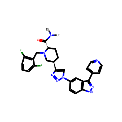 CCN(CC)C(=O)[C@@H]1CC[C@@H](c2cn(-c3ccc4[nH]nc(-c5ccncc5)c4c3)nn2)CN1Cc1c(F)cccc1F